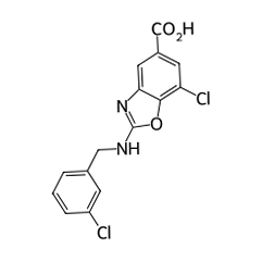 O=C(O)c1cc(Cl)c2oc(NCc3cccc(Cl)c3)nc2c1